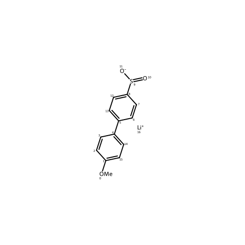 COc1ccc(-c2ccc(S(=O)[O-])cc2)cc1.[Li+]